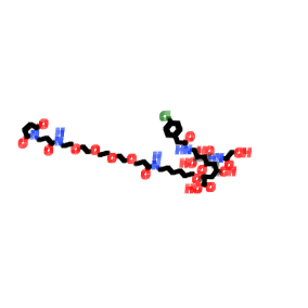 O=C(CCOCCOCCOCCOCCNC(=O)CCN1C(=O)C=CC1=O)NCCCCCCO[C@]1(C(=O)O)C[C@H](O)[C@@H](NC(=O)CO)[C@H]([C@H](O)[C@H](O)CNC(=O)Cc2ccc(Cl)cc2)O1